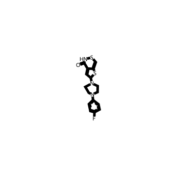 O=C1NSC=C2SC(N3CCN(c4ccc(F)cc4)CC3)C=C12